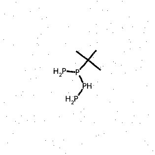 CC(C)(C)P(P)PP